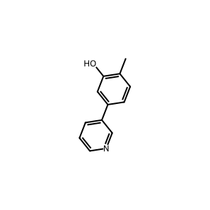 Cc1ccc(-c2cccnc2)cc1O